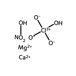 O=[N+]([O-])O.[Ca+2].[Mg+2].[O-][Cl+3]([O-])([O-])O